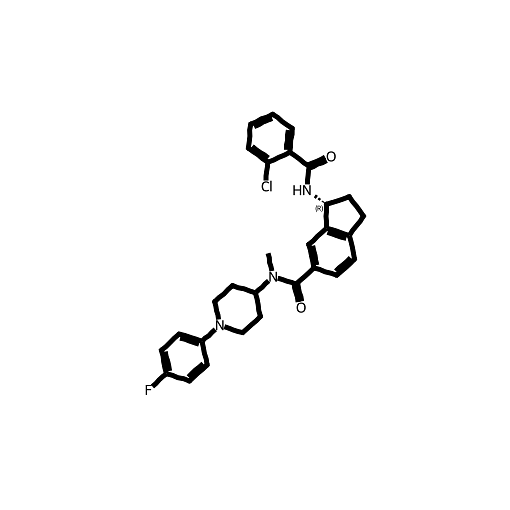 CN(C(=O)c1ccc2c(c1)[C@H](NC(=O)c1ccccc1Cl)CC2)C1CCN(c2ccc(F)cc2)CC1